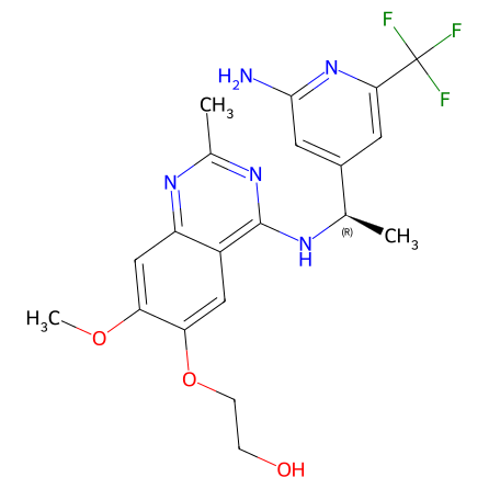 COc1cc2nc(C)nc(N[C@H](C)c3cc(N)nc(C(F)(F)F)c3)c2cc1OCCO